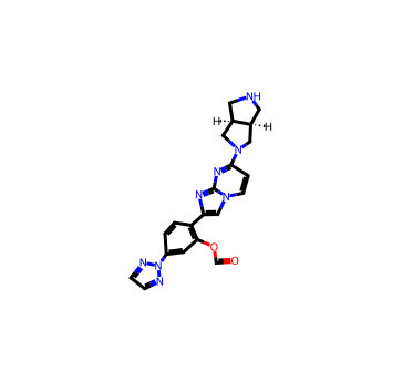 O=COc1cc(-n2nccn2)ccc1-c1cn2ccc(N3C[C@H]4CNC[C@H]4C3)nc2n1